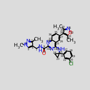 Cc1nn(C)cc1CNC(=O)c1nc(NC2(c3cccc(Cl)c3)CC2)c2cc(-c3c(C)noc3C)ccc2n1